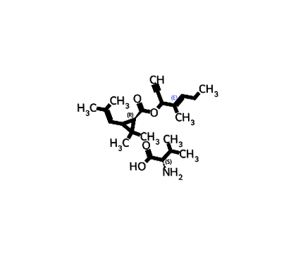 C#CC(OC(=O)[C@@H]1C(C=C(C)C)C1(C)C)/C(C)=C/CC.CC(C)[C@H](N)C(=O)O